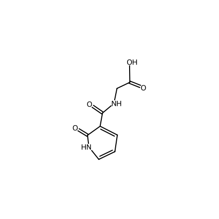 O=C(O)CNC(=O)c1ccc[nH]c1=O